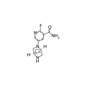 NC(=O)c1cc(N2C[C@H]3C[C@@H]2CN3)cnc1F